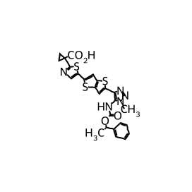 C[C@@H](OC(=O)Nc1c(-c2cc3sc(-c4cnc(C5(C(=O)O)CC5)s4)cc3s2)nnn1C)c1ccccc1